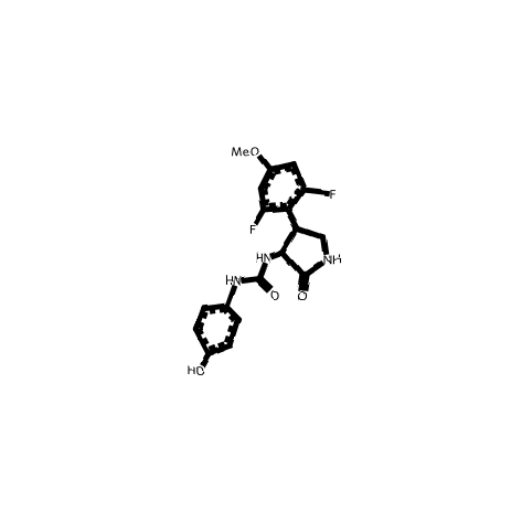 COc1cc(F)c(C2CNC(=O)C2NC(=O)Nc2ccc(O)cc2)c(F)c1